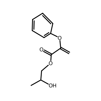 C=C(Oc1ccccc1)C(=O)OCC(C)O